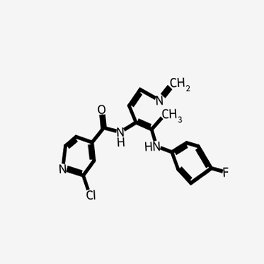 C=N/C=C\C(NC(=O)c1ccnc(Cl)c1)=C(/C)Nc1ccc(F)cc1